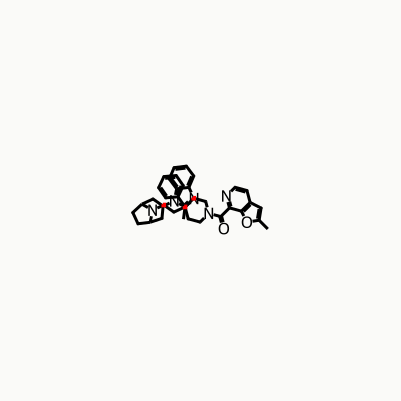 Cc1cc2ccnc(C(=O)N3CCC(CCN4C5CCC4CC(n4c(C)nc6ccccc64)C5)(c4ccccc4)CC3)c2o1